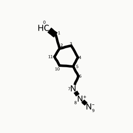 C#CC1CCC(CN=[N+]=[N-])CC1